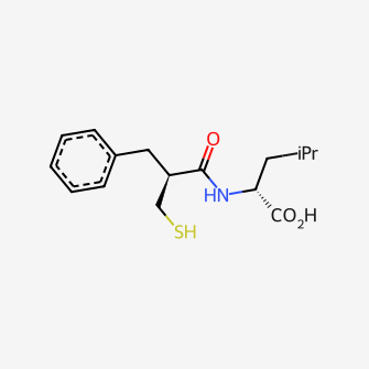 CC(C)C[C@@H](NC(=O)[C@@H](CS)Cc1ccccc1)C(=O)O